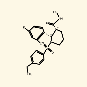 COc1ccc(S(=O)(=O)N2CCC[C@@H](C(=O)NO)[C@H]2c2ccc(F)cc2Cl)cc1